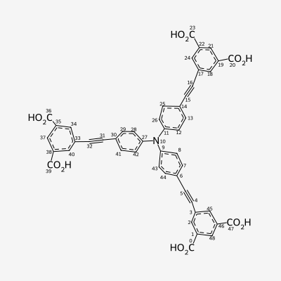 O=C(O)c1cc(C#Cc2ccc(N(c3ccc(C#Cc4cc(C(=O)O)cc(C(=O)O)c4)cc3)c3ccc(C#Cc4cc(C(=O)O)cc(C(=O)O)c4)cc3)cc2)cc(C(=O)O)c1